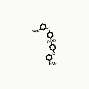 CNc1cccc(Oc2ccc(S(=O)(=O)c3ccc(Oc4cccc(NC)c4)cc3)cc2)c1